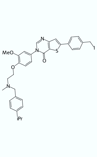 COc1cc(-n2cnc3cc(-c4ccc(CI)cc4)sc3c2=O)ccc1OCCN(C)Cc1ccc(C(C)C)cc1